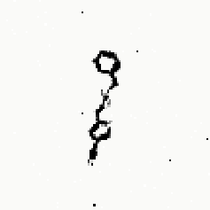 N#Cc1csc(C=NOCc2ccccc2)c1